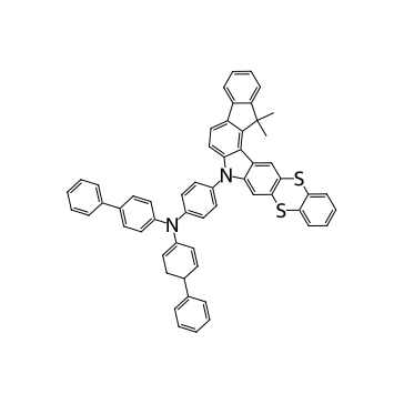 CC1(C)c2ccccc2-c2ccc3c(c21)c1cc2c(cc1n3-c1ccc(N(C3=CCC(c4ccccc4)C=C3)c3ccc(-c4ccccc4)cc3)cc1)Sc1ccccc1S2